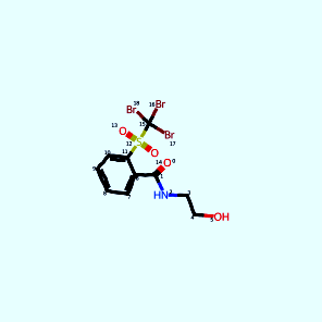 O=C(NCCO)c1ccccc1S(=O)(=O)C(Br)(Br)Br